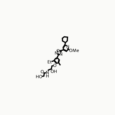 CCc1cc(-c2noc(-c3cc(OC)nc(C4CCCCC4)c3)n2)cc(C)c1OCC(O)CNC(=O)CO